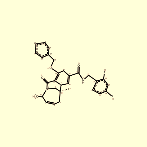 C[C@@H]1C=CC[C@H]2CN1C(=O)C1=C(OCc3ccccc3)CC(C(=O)NCc3ccc(F)cc3F)=CN12